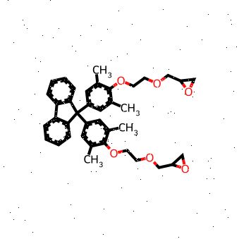 Cc1cc(C2(c3cc(C)c(OCCOCC4CO4)c(C)c3)c3ccccc3-c3ccccc32)cc(C)c1OCCOCC1CO1